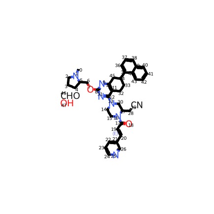 CN1CCCC1COc1nc2c(c(N3CCN(C(=O)/C=C/c4cccnc4)C(CC#N)C3)n1)CCC(c1cccc3ccccc13)C2.O=CO